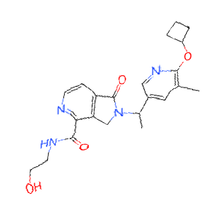 Cc1cc(C(C)N2Cc3c(ccnc3C(=O)NCCO)C2=O)cnc1OC1CCC1